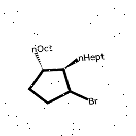 CCCCCCCC[C@H]1CCC(Br)[C@@H]1CCCCCCC